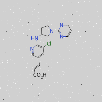 O=C(O)/C=C/c1cnc(N[C@@H]2CCN(c3ncccn3)C2)c(Cl)c1